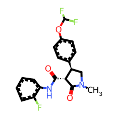 CN1C[C@H](c2ccc(OC(F)F)cc2)[C@@H](C(=O)Nc2ccccc2F)C1=O